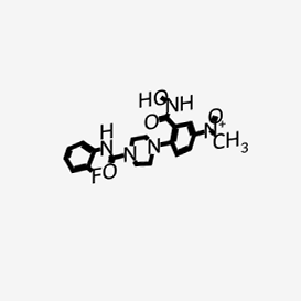 C[N+](=O)c1ccc(N2CCN(C(=O)Nc3ccccc3F)CC2)c(C(=O)NO)c1